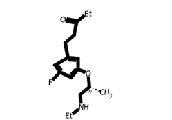 CCNC[C@@H](C)Oc1cc(F)cc(CCC(=O)CC)c1